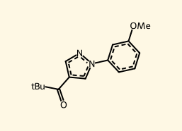 COc1cccc(-n2cc(C(=O)C(C)(C)C)cn2)c1